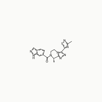 Cc1nsc(-c2nnc3n2CCN(C(=O)c2ccc4cn[nH]c4c2)[C@@H]3C)n1